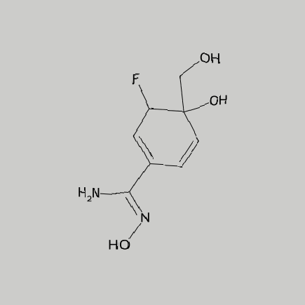 NC(=NO)C1=CC(F)C(O)(CO)C=C1